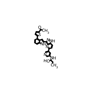 CCC(O)Nc1cncc(-c2ccc3[nH]nc(-c4cc5c(-c6ccc(C(C)=O)s6)cccc5[nH]4)c3n2)c1